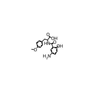 COc1ccc(CC(NC(=O)c2cc(N)ccc2O)C(=O)O)cc1